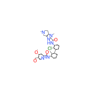 COc1cc(C(=O)Nc2cccc(-c3cccc(NC(=O)c4nc5c(n4C)CCN(C)C5)c3Cl)c2C)ncc1C=O